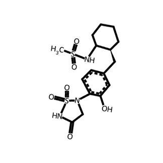 CS(=O)(=O)NC1CCCC[C@H]1Cc1ccc(N2CC(=O)NS2(=O)=O)c(O)c1